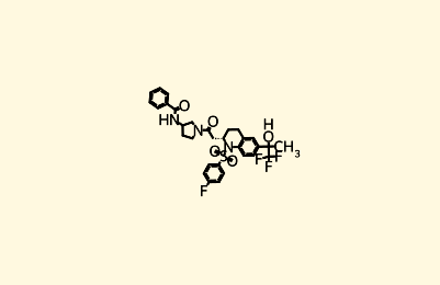 CC(O)(c1ccc2c(c1)CC[C@@H](CC(=O)N1CCC(NC(=O)c3ccccc3)C1)N2S(=O)(=O)c1ccc(F)cc1)C(F)(F)F